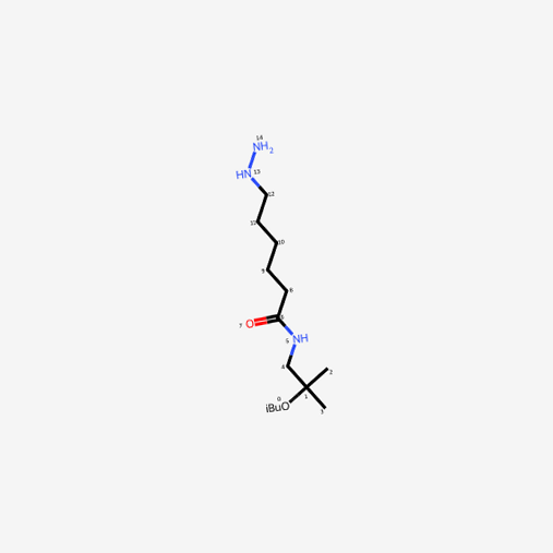 CC(C)COC(C)(C)CNC(=O)CCCCCNN